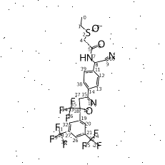 CC[S+]([O-])CC(=O)NC(C#N)c1ccc(C2=NOC(c3cc(C(F)(F)F)cc(C(F)(F)F)c3)(C(F)(F)F)C2)cc1